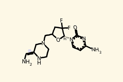 N/C=C1/CN(CC2CC(F)(F)[C@H](n3ccc(N)nc3=O)O2)CCN1